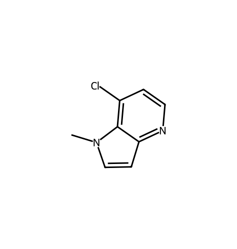 Cn1ccc2nccc(Cl)c21